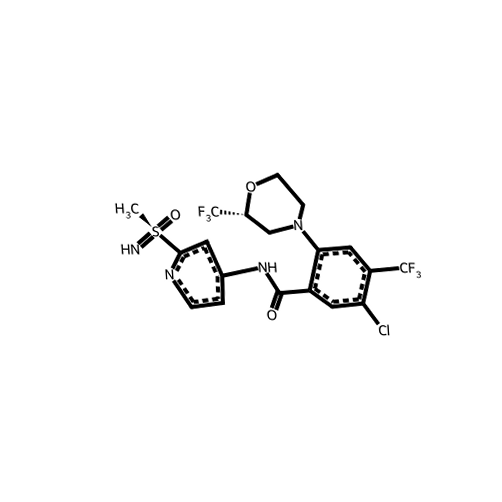 C[S@@](=N)(=O)c1cc(NC(=O)c2cc(Cl)c(C(F)(F)F)cc2N2CCO[C@@H](C(F)(F)F)C2)ccn1